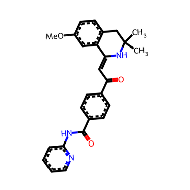 COc1ccc2c(c1)C(=CC(=O)c1ccc(C(=O)Nc3ccccn3)cc1)NC(C)(C)C2